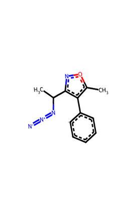 Cc1onc(C(C)N=[N+]=[N-])c1-c1[c]cccc1